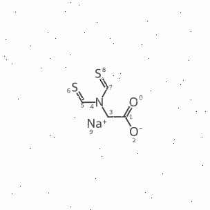 O=C([O-])CN(C=S)C=S.[Na+]